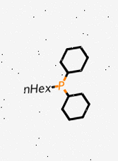 CCCCCCP(C1CCCCC1)C1CCCCC1